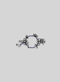 C/C=C/[C@H](O)C(C)(C)[C@@H]1C/C=C\C2CC2/C=C/C=C\c2nc(cs2)C(=O)O[C@H](C(C)(C)C(C)O)C/C=C\[C@H]2O[C@H]2/C=C/C=C\c2nc(co2)C(=O)O1